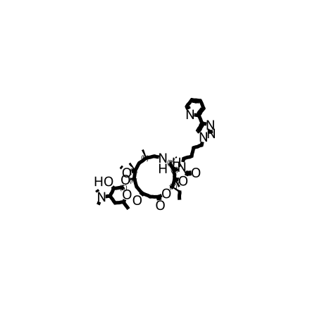 CC[C@H]1OC(=O)CC(=O)C[C@@H](O[C@@H]2OC(C)CC(N(C)C)C2O)[C@](C)(OC)C[C@@H](C)CN[C@H](C)[C@H]2N(CCCCn3cc(-c4ccccn4)nn3)C(=O)O[C@]12C